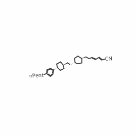 CCCCCc1ccc([C@H]2CC[C@H](CC[C@H]3CC[C@H](CC/C=C/C=C/C#N)CC3)CC2)cc1